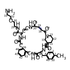 Cc1ccc(C[C@@H]2NC(=O)[C@@H]3CCCN(C3)C(=O)/C=C/C(=O)NCC[C@@H](C(=O)NCCOCCN)NC(=O)Cc3ccccc3CNC2=O)cc1